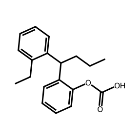 CCCC(c1ccccc1CC)c1ccccc1OC(=O)O